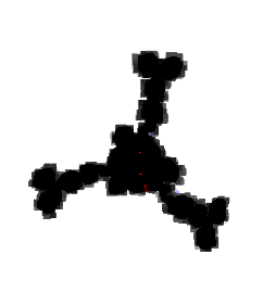 C(=C\c1ccc2c(c1)C1(c3ccccc3-c3ccccc31)c1c-2c2c(c3c1-c1ccc(/C=C/c4ccc(-c5ccc(N(c6ccccc6)c6ccccc6)cc5)cc4)cc1C31c3ccccc3-c3ccccc31)-c1ccc(/C=C/c3ccc(-c4ccc(N(c5ccccc5)c5ccccc5)cc4)cc3)cc1C21c2ccccc2-c2ccccc21)/c1ccc(-c2ccc(N(c3ccccc3)c3ccccc3)cc2)cc1